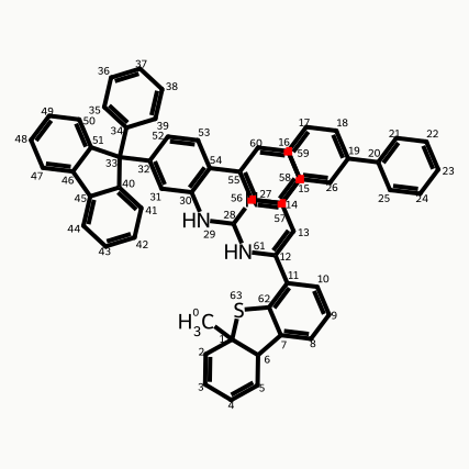 CC12C=CC=CC1c1cccc(C3=CC(c4cccc(-c5ccccc5)c4)=NC(Nc4cc(C5(c6ccccc6)c6ccccc6-c6ccccc65)ccc4-c4ccccc4)N3)c1S2